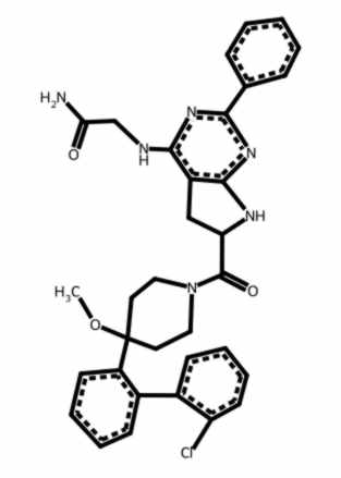 COC1(c2ccccc2-c2ccccc2Cl)CCN(C(=O)C2Cc3c(NCC(N)=O)nc(-c4ccccc4)nc3N2)CC1